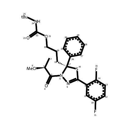 CO[C@@H](C)C(=O)N1N=C(c2cc(F)ccc2F)S[C@]1(CCCOC(=O)NC(C)(C)C)c1ccccc1